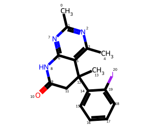 Cc1nc(C)c2c(n1)NC(=O)CC2(C)c1ccccc1I